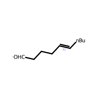 CCCC/C=C/CCC[C]=O